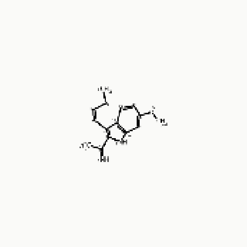 CC/C=C\c1c(C(C)=N)[nH]c2cc(OC)ccc12